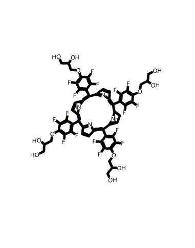 OCC(O)COc1c(F)c(F)c(/C2=C3\C=CC(=N3)/C(c3c(F)c(F)c(OCC(O)CO)c(F)c3F)=c3/cc/c([nH]3)=C(\c3c(F)c(F)c(OCC(O)CO)c(F)c3F)C3=N/C(=C(/c4c(F)c(F)c(OCC(O)CO)c(F)c4F)C4CC=C2N4)C=C3)c(F)c1F